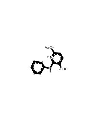 COc1ccc(C=O)c(Nc2ccccc2)n1